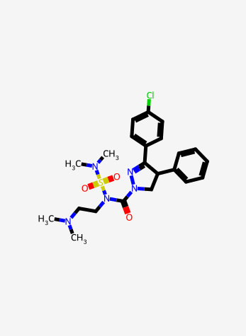 CN(C)CCN(C(=O)N1CC(c2ccccc2)C(c2ccc(Cl)cc2)=N1)S(=O)(=O)N(C)C